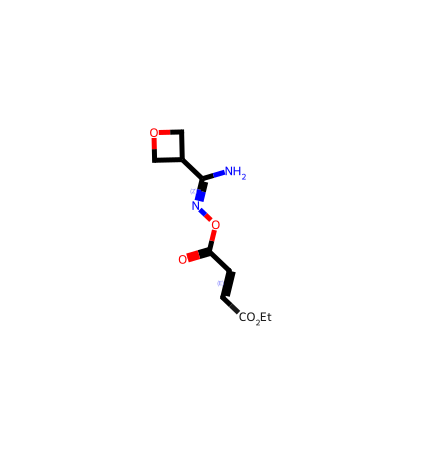 CCOC(=O)/C=C/C(=O)O/N=C(\N)C1COC1